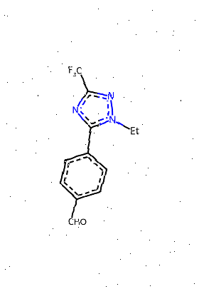 CCn1nc(C(F)(F)F)nc1-c1ccc(C=O)cc1